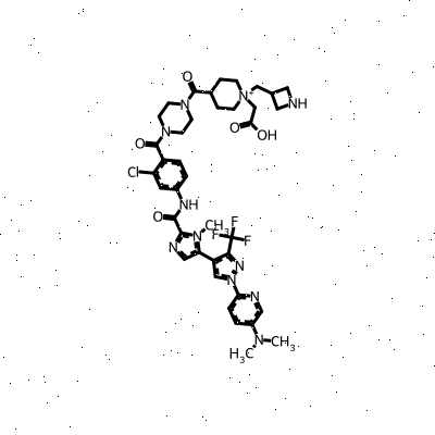 CN(C)c1ccc(-n2cc(-c3cnc(C(=O)Nc4ccc(C(=O)N5CCN(C(=O)C6CC[N+](CC(=O)O)(CC7CNC7)CC6)CC5)c(Cl)c4)n3C)c(C(F)(F)F)n2)nc1